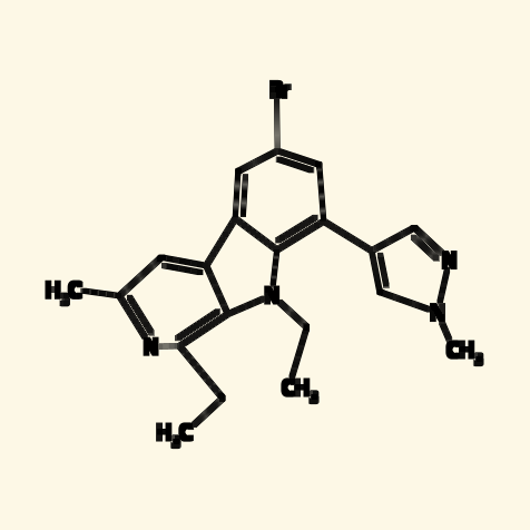 CCc1nc(C)cc2c3cc(Br)cc(-c4cnn(C)c4)c3n(CC)c12